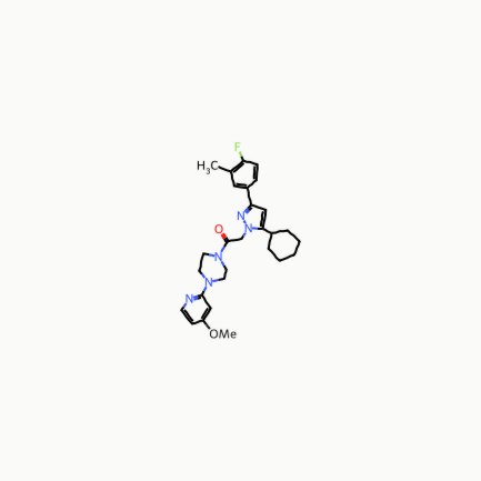 COc1ccnc(N2CCN(C(=O)Cn3nc(-c4ccc(F)c(C)c4)cc3C3CCCCC3)CC2)c1